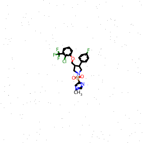 Cn1cnc(S(=O)(=O)N2CC(COc3cccc(C(F)(F)F)c3Cl)C(c3ccc(F)cc3)C2)c1